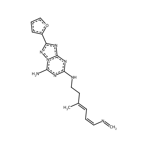 C=N/C=C\C=C(/C)CCNc1nc(N)n2nc(-c3ccco3)nc2n1